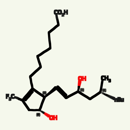 CCCC[C@@H](C)C[C@H](O)C=C[C@@H]1C(CCCCCCC(=O)O)=C(C(F)(F)F)C[C@H]1O